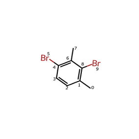 Cc1ccc(Br)c(C)c1Br